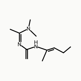 C=C(/N=C(/C)N(C)C)N/C(C)=C/CC